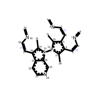 C=N/C=C\c1c(/C=C\N=C)c(C)p(-p2c(C)c(/C=C\N=C)c3ccncc32)c1C